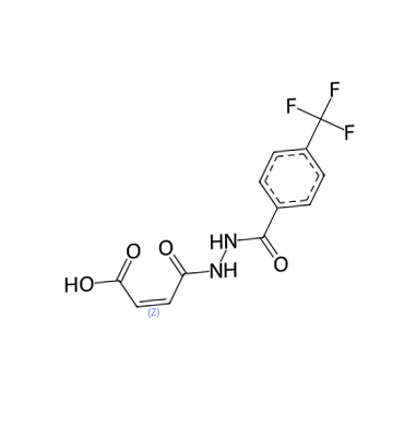 O=C(O)/C=C\C(=O)NNC(=O)c1ccc(C(F)(F)F)cc1